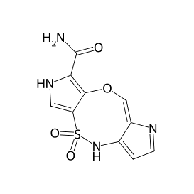 NC(=O)c1[nH]cc2c1OC=C1N=CC=C1NS2(=O)=O